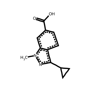 Cn1nc(C2CC2)c2ccc(C(=O)O)cc21